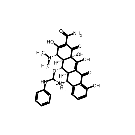 C[C@H]1c2cccc(O)c2C(=O)C2=C(O)[C@]3(O)C(=O)C(C(N)=O)=C(O)[C@@H](N(C)C)[C@@H]3[C@@H](OC(O)Nc3ccccc3)[C@@H]21